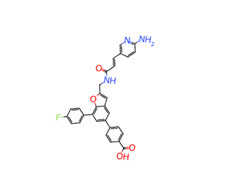 Nc1ccc(C=CC(=O)NCc2cc3cc(-c4ccc(C(=O)O)cc4)cc(-c4ccc(F)cc4)c3o2)cn1